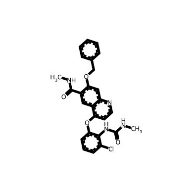 CNC(=O)Nc1c(Cl)cccc1Oc1ccnc2cc(OCc3ccccc3)c(C(=O)NC)cc12